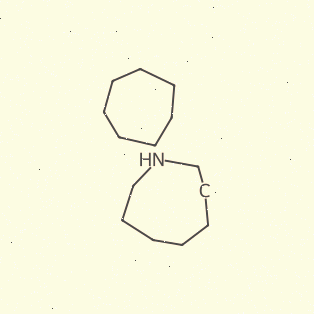 C1CCCCCC1.C1CCCNCCC1